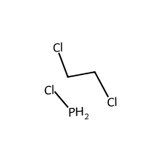 ClCCCl.PCl